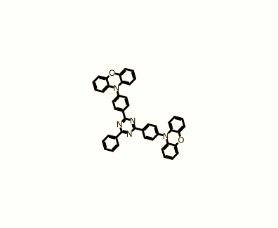 c1ccc(-c2nc(-c3ccc(N4c5ccccc5Oc5ccccc54)cc3)nc(-c3ccc(N4c5ccccc5Oc5ccccc54)cc3)n2)cc1